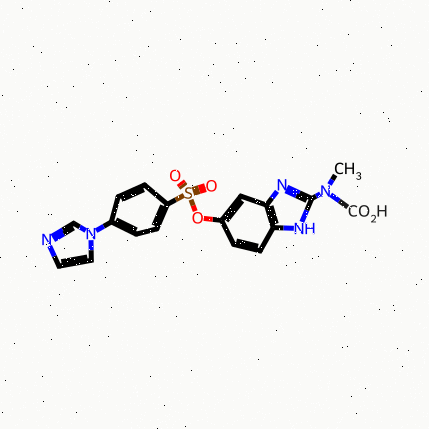 CN(C(=O)O)c1nc2cc(OS(=O)(=O)c3ccc(-n4ccnc4)cc3)ccc2[nH]1